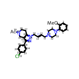 COc1ccccc1N1CCN(C/C=C/Cn2nc(-c3ccc(Cl)cc3)c3c2CCN(C(C)=O)C3)CC1